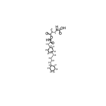 CC(CNC(=O)O)C(=O)ONC(=O)Cc1ccc(CCCCc2ccccc2)cc1